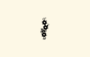 COc1ccc(-c2cc(N(C)S(=O)(=O)c3ccc(OC)cc3)ccc2C)cc1